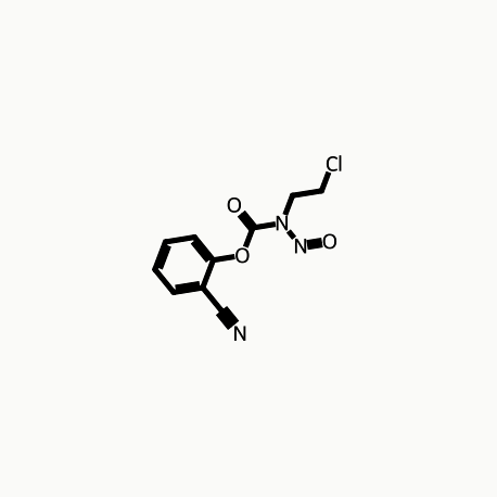 N#Cc1ccccc1OC(=O)N(CCCl)N=O